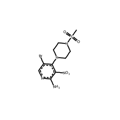 CS(=O)(=O)N1CCN(c2c(Br)cnc(N)c2[N+](=O)[O-])CC1